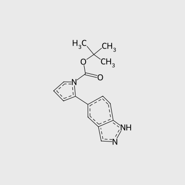 CC(C)(C)OC(=O)n1cccc1-c1ccc2[nH]ncc2c1